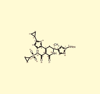 CCCCCCn1cc([C@]2(C)CC(c3ccc(C4CC4)s3)=C(C(=O)NS(=O)(=O)C3CC3)C(=O)N2)cn1